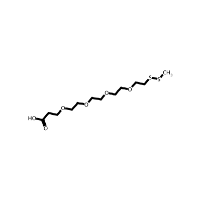 CSSCCOCCOCCOCCOCCC(=O)O